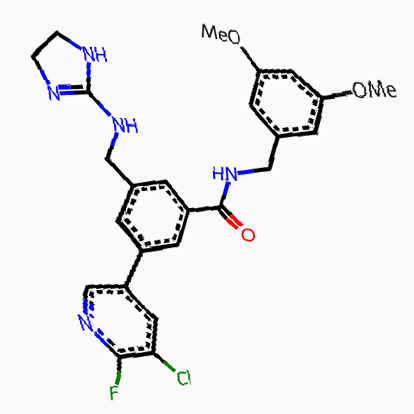 COc1cc(CNC(=O)c2cc(CNC3=NCCN3)cc(-c3cnc(F)c(Cl)c3)c2)cc(OC)c1